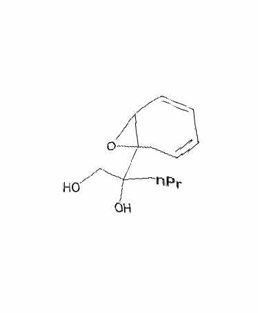 CCCC(O)(CO)C12C=CC=CC1O2